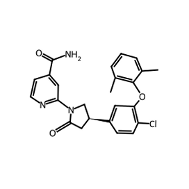 Cc1cccc(C)c1Oc1cc([C@H]2CC(=O)N(c3cc(C(N)=O)ccn3)C2)ccc1Cl